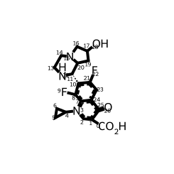 O=C(O)c1cn(C2CC2)c2c(F)c([C@@H]3NCCN4CC(O)CC34)c(F)cc2c1=O